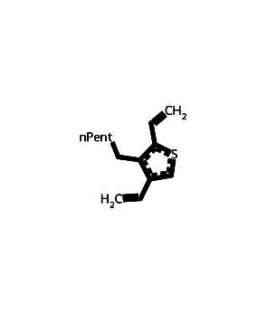 C=Cc1csc(C=C)c1CCCCCC